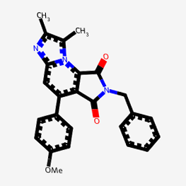 COc1ccc(-c2cc3nc(C)c(C)n3c3c2C(=O)N(Cc2ccccc2)C3=O)cc1